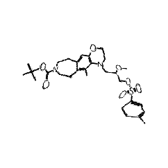 CO[C@@H](COS(=O)(=O)c1ccc(C)cc1)CN1CCOc2cc3c(c(C)c21)CCN(C(=O)OC(C)(C)C)CC3